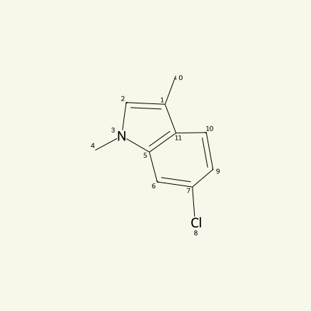 [CH2]c1cn(C)c2cc(Cl)ccc12